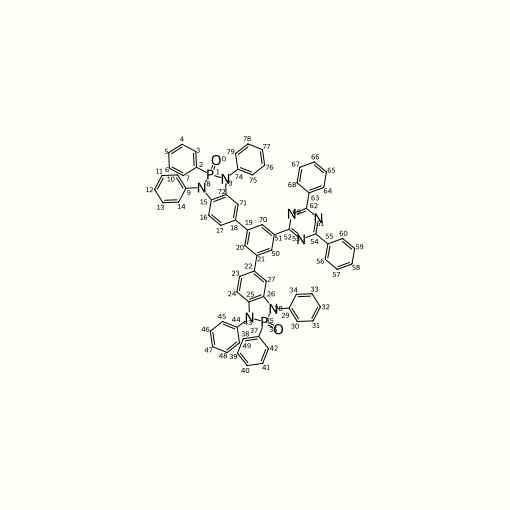 O=P1(c2ccccc2)N(c2ccccc2)c2ccc(-c3cc(-c4ccc5c(c4)N(c4ccccc4)P(=O)(c4ccccc4)N5c4ccccc4)cc(-c4nc(-c5ccccc5)nc(-c5ccccc5)n4)c3)cc2N1c1ccccc1